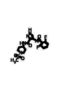 CS(=O)(=O)N1CCC(NC(=O)c2n[nH]cc2NC(=O)c2c(F)cccc2F)CC1